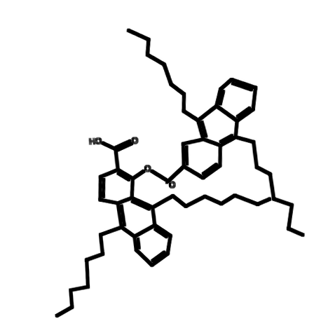 CCCCCCCc1c2ccccc2c(CCCCCCC)c2cc(C(=O)Oc3c(C(=O)O)ccc4c(CCCCCCC)c5ccccc5c(CCCCCCC)c34)ccc12